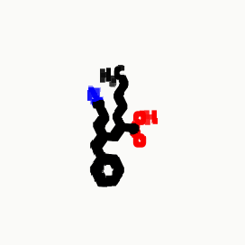 CCCCCC(=CC(C=CC#N)=Cc1ccccc1)C(=O)O